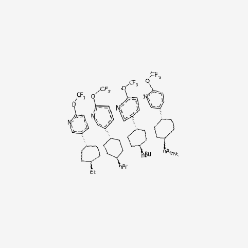 CCCCC[C@H]1CC[C@H](c2ccc(OC(F)(F)F)nc2)CC1.CCCC[C@H]1CC[C@H](c2ccc(OC(F)(F)F)nc2)CC1.CCC[C@H]1CC[C@H](c2ccc(OC(F)(F)F)nc2)CC1.CC[C@H]1CC[C@H](c2ccc(OC(F)(F)F)nc2)CC1